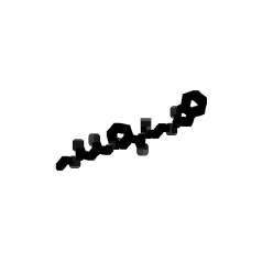 CCOC(=O)CC(=O)C[n+]1cccc(C(=O)NCCOc2cc3ccccc3o2)c1